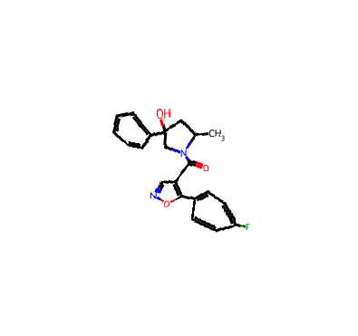 CC1CC(O)(c2ccccc2)CN1C(=O)c1cnoc1-c1ccc(F)cc1